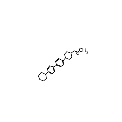 COCC1CCC(c2ccc(-c3ccc(C4CCCCC4)cc3)cc2)CC1